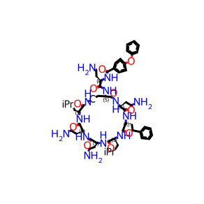 CC(C)C[C@@H]1NC(=O)[C@H](CCN)NC(=O)[C@H](CCN)NC(=O)[C@H](CC(C)C)NC(=O)[C@@H](CCc2ccccc2)NC(=O)[C@H](CCN)NC(=O)[C@@H](NC(=O)[C@@H](CCN)NC(=O)c2ccc(Oc3ccccc3)cc2)CCNC1=O